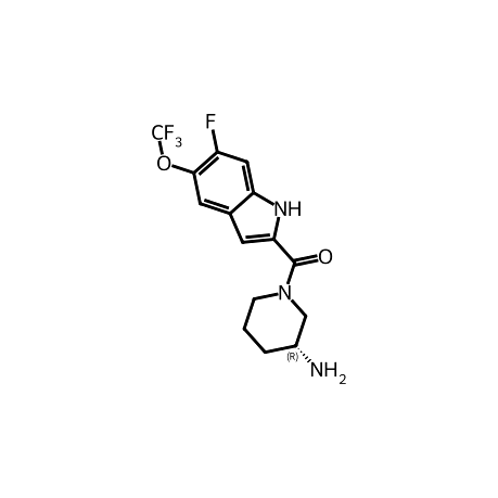 N[C@@H]1CCCN(C(=O)c2cc3cc(OC(F)(F)F)c(F)cc3[nH]2)C1